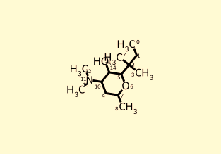 CCC(C)(C)C1OC(C)CC(N(C)C)C1O